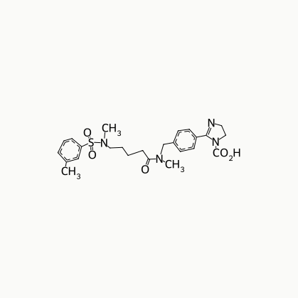 Cc1cccc(S(=O)(=O)N(C)CCCCC(=O)N(C)Cc2ccc(C3=NCCN3C(=O)O)cc2)c1